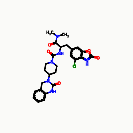 CN(C)C(=O)C(Cc1cc(Cl)c2[nH]c(=O)oc2c1)NC(=O)N1CCC(N2Cc3ccccc3NC2=O)CC1